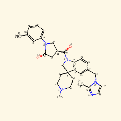 CC(=O)N1CCC2(CC1)CN(C(=O)[C@H]1CC(=O)N(c3cccc(C#N)c3)C1)c1ccc(Cn3ccnc3C)cc12